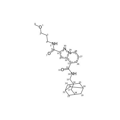 COCCCNC(=O)c1cc2c(C(=O)NCC34CC5CC(CC(C5)C3)C4)cccn2n1